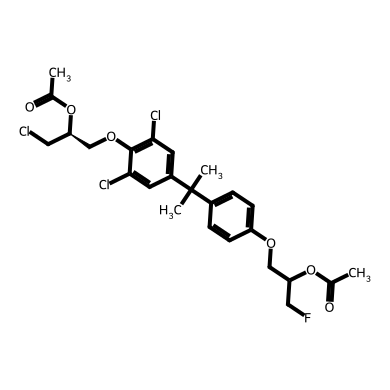 CC(=O)OC(CF)COc1ccc(C(C)(C)c2cc(Cl)c(OC[C@@H](CCl)OC(C)=O)c(Cl)c2)cc1